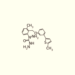 Cc1ccc(-c2cccc(OCc3c(C)cccc3N(N)C(=O)NN)c2)s1